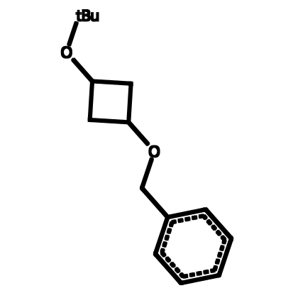 CC(C)(C)OC1CC(OCc2ccccc2)C1